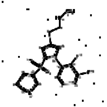 O=C(O)NCCc1cc(S(=O)(=O)c2cccnc2)n(-c2cccc(F)c2F)n1